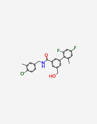 Cc1cc(CNC(=O)c2cc(CO)cc(-c3c(C)cc(F)cc3F)c2)ccc1Cl